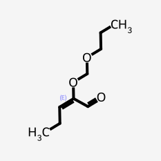 CC/C=C(\C=O)OCOCCC